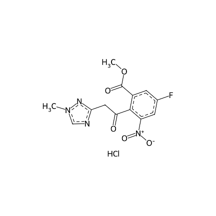 COC(=O)c1cc(F)cc([N+](=O)[O-])c1C(=O)Cc1ncn(C)n1.Cl